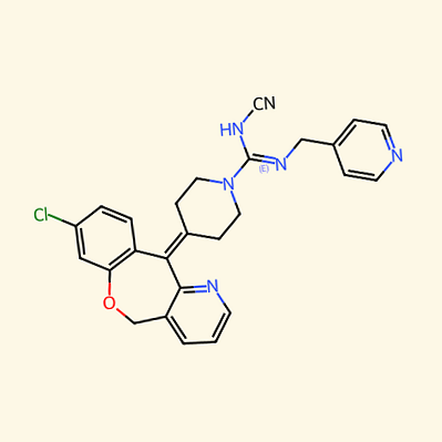 N#CN/C(=N\Cc1ccncc1)N1CCC(=C2c3ccc(Cl)cc3OCc3cccnc32)CC1